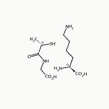 C[C@H](S)C(=O)NCC(=O)O.NCCCC[C@H](N)C(=O)O